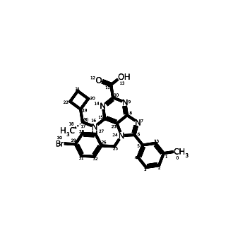 Cc1cccc(-c2nc3nc(C(=O)O)nc(N[C@H](C)C4CCC4)c3n2Cc2ccc(Br)cc2)c1